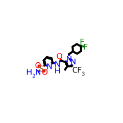 Cc1c(C(F)(F)F)nn(CC2CCC(F)(F)CC2)c1C(=O)Nc1cccc(S(N)(=O)=O)n1